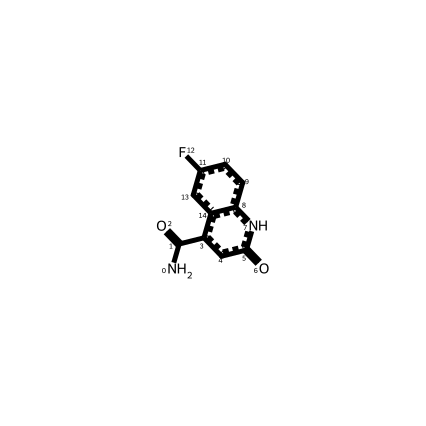 NC(=O)c1cc(=O)[nH]c2ccc(F)cc12